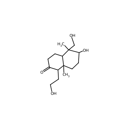 CC1(CO)C(O)CCC2(C)C(CCO)C(=O)CCC12